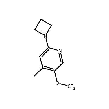 Cc1cc(N2CCC2)ncc1OC(F)(F)F